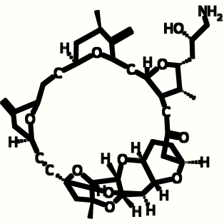 C=C1C[C@@H]2CC[C@@]34C[C@@]5(C)O[C@H]6[C@@H](O3)[C@H]3O[C@H](CC[C@@H]3O[C@H]6[C@H]5O4)CC(=O)CC3[C@H](CC4O[C@@H](CCC1O2)C[C@@H](C)C4=C)O[C@H](C[C@H](O)CN)[C@@H]3C